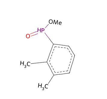 CO[PH](=O)c1cccc(C)c1C